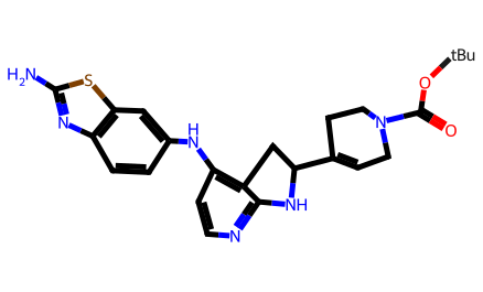 CC(C)(C)OC(=O)N1CC=C(C2Cc3c(Nc4ccc5nc(N)sc5c4)ccnc3N2)CC1